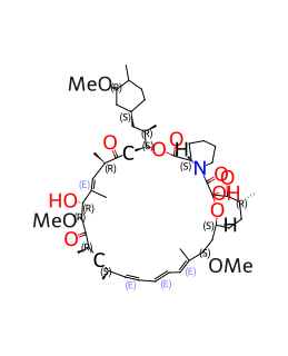 CO[C@H]1C[C@@H]2CC[C@@H](C)C(=O)C(O)(O2)C(=O)N2CCCC[C@H]2C(=O)O[C@H]([C@H](C)C[C@@H]2CCC(C)[C@H](OC)C2)CC(=O)[C@H](C)/C=C(\C)[C@@H](O)[C@@H](OC)C(=O)[C@H](C)C[C@H](C)/C=C/C=C/C=C/1C